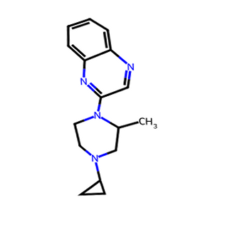 CC1CN(C2CC2)CCN1c1cnc2ccccc2n1